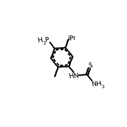 Cc1cc(P)c(C(C)C)cc1NC(N)=S